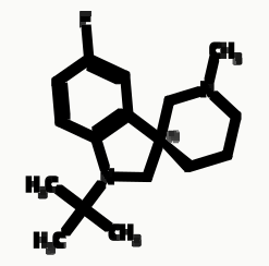 CN1CCC[C@@]2(C1)CN(C(C)(C)C)c1ccc(F)cc12